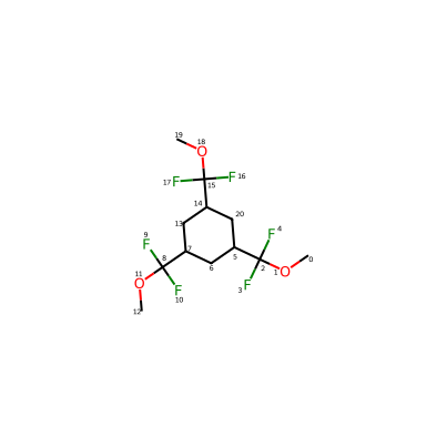 COC(F)(F)C1CC(C(F)(F)OC)CC(C(F)(F)OC)C1